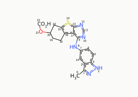 Cc1n[nH]c2ccc(Nc3ncnc4sc5c(c34)CCC(OC(=O)O)C5)cc12